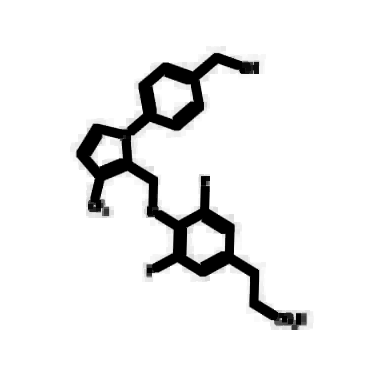 O=C(O)CCc1cc(F)c(OCc2c(C(F)(F)F)ccn2-c2ccc(CO)cc2)c(F)c1